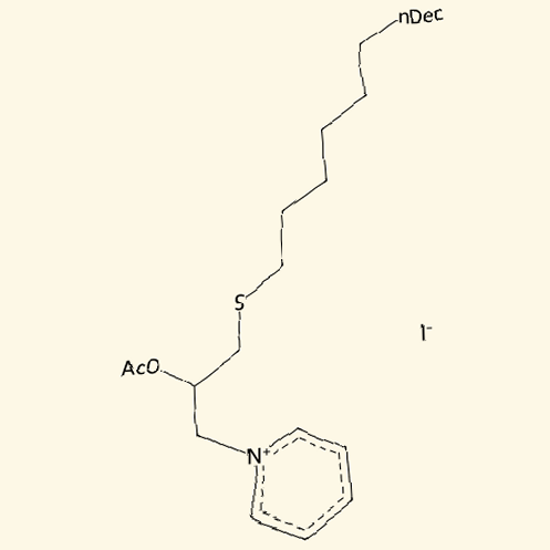 CCCCCCCCCCCCCCCCSCC(C[n+]1ccccc1)OC(C)=O.[I-]